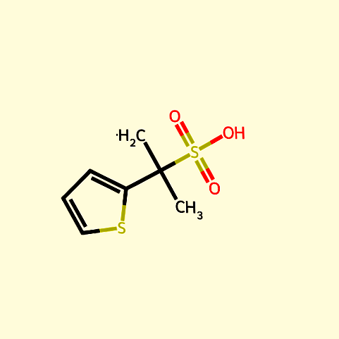 [CH2]C(C)(c1cccs1)S(=O)(=O)O